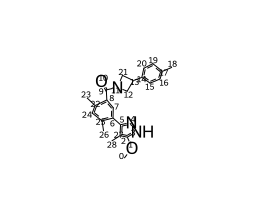 COc1[nH]nc(-c2cc(C(=O)N3CC(c4ccc(C)cc4)C3)c(C)cc2C)c1C